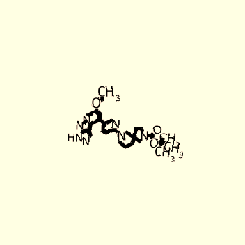 CCOc1cc(-c2ccc(N3CCCC4(CCN(C(=O)OC(C)(C)C)C4)C3)nc2)c2c3cn[nH]c3nn2c1